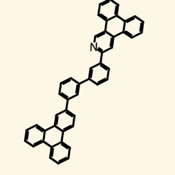 c1cc(-c2cccc(-c3cc4c5ccccc5c5ccccc5c4cn3)c2)cc(-c2ccc3c4ccccc4c4ccccc4c3c2)c1